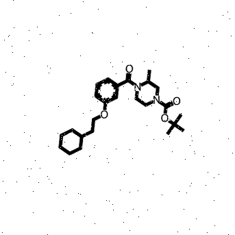 CC1CN(C(=O)OC(C)(C)C)CCN1C(=O)c1cccc(OCCC2CCCCC2)c1